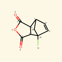 O=C1OC(=O)C2C1C1C=CC2(F)C1